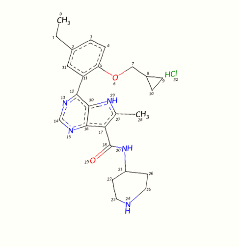 CCc1ccc(OCC2CC2)c(-c2ncnc3c(C(=O)NC4CCNCC4)c(C)[nH]c23)c1.Cl